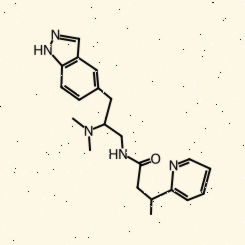 CC(CC(=O)NCC(Cc1ccc2[nH]ncc2c1)N(C)C)c1ccccn1